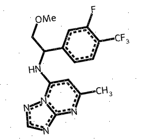 COCC(Nc1cc(C)nc2ncnn12)c1ccc(C(F)(F)F)c(F)c1